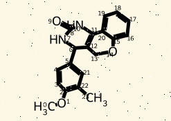 COc1ccc(C2NC(=O)NC3=C2COc2ccccc23)cc1C